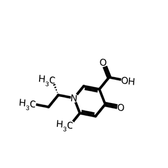 CC[C@H](C)n1cc(C(=O)O)c(=O)cc1C